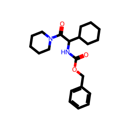 O=C(NC(C(=O)N1CCCCC1)C1CCCCC1)OCc1ccccc1